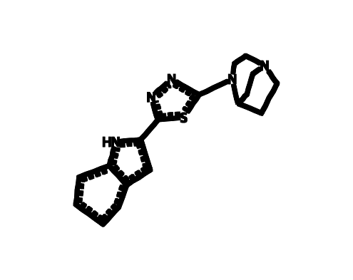 c1ccc2[nH]c(-c3nnc(N4CCN5CCC4CC5)s3)cc2c1